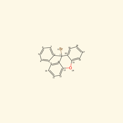 BrC1(c2ccccc2)c2ccccc2Oc2ccccc21